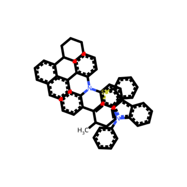 CC1CC=c2c(sc3ccccc23)=C1c1ccccc1N(c1ccc2c3ccccc3n(-c3ccccc3)c2c1)c1ccccc1-c1cccc2cccc(C3CCCCC3)c12